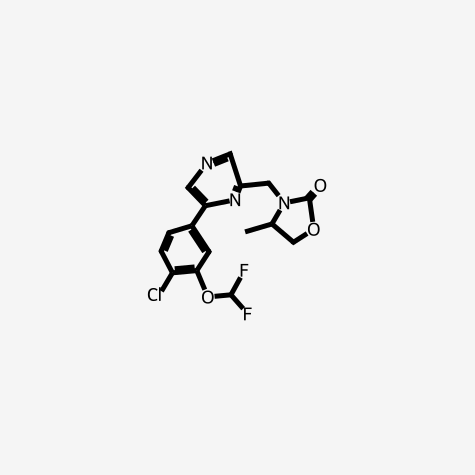 CC1COC(=O)N1Cc1cncc(-c2ccc(Cl)c(OC(F)F)c2)n1